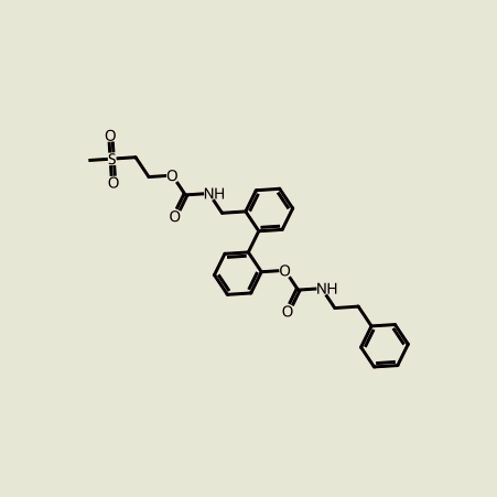 CS(=O)(=O)CCOC(=O)NCc1ccccc1-c1ccccc1OC(=O)NCCc1ccccc1